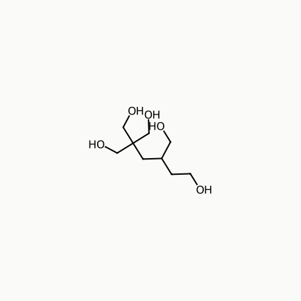 OCCC(CO)CC(CO)(CO)CO